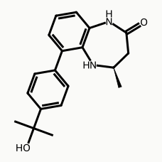 C[C@@H]1CC(=O)Nc2cccc(-c3ccc(C(C)(C)O)cc3)c2N1